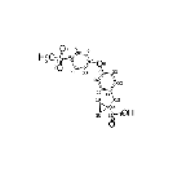 CS(=O)(=O)c1ccc(Oc2ccc(CC3(C(=O)O)CC3)cc2)cc1